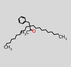 CCCCCCCCCCC(CCCCCCCCCC)(Cc1ccccc1)C(C)=O